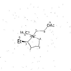 CC[C@@H]1CCC[N+]1(C)CCOC(C)=O